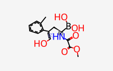 COC(=O)C(=O)N[C@@H](C/C(=C/O)c1ccccc1C)B(O)O